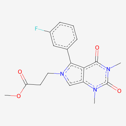 COC(=O)CCn1cc2c(c1-c1cccc(F)c1)c(=O)n(C)c(=O)n2C